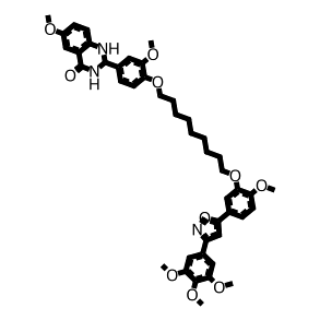 COc1ccc2c(c1)C(=O)NC(c1ccc(OCCCCCCCCCOc3cc(-c4cc(-c5cc(OC)c(OC)c(OC)c5)no4)ccc3OC)c(OC)c1)N2